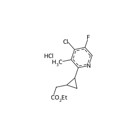 CCOC(=O)CC1CC1c1ncc(F)c(Cl)c1C.Cl